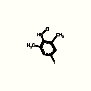 Cc1cc(I)cc(C)c1NCl